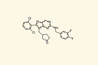 Fc1ccc(CNc2ncc3nc(-c4c(Cl)cccc4Cl)n(CC4CCNC4)c3n2)cc1F